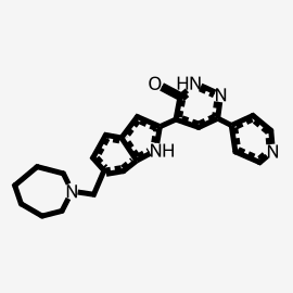 O=c1[nH]nc(-c2ccncc2)cc1-c1cc2ccc(CN3CCCCCC3)cc2[nH]1